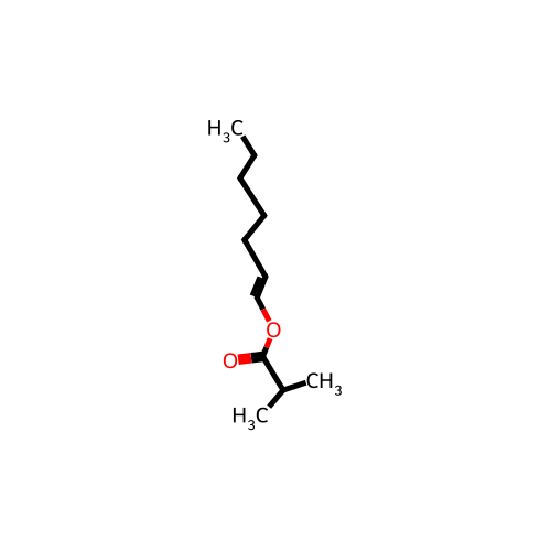 CCCCCC=COC(=O)C(C)C